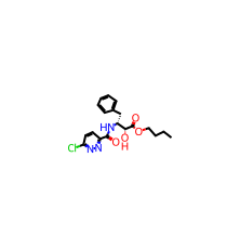 CCCCOC(=O)[C@H](O)[C@@H](Cc1ccccc1)NC(=O)c1ccc(Cl)nn1